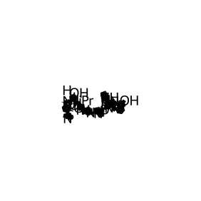 Cc1ncsc1-c1ccc([C@H](C)NC(=O)[C@@H]2C[C@@H](O)CN2C(=O)[C@H](c2cc(N3CCN(C[C@@H]4CC[C@]5(COc6nc(N7CC8CCC(C7)N8)c7cnc8c(c7n6)C(C)c6cccc7cc(O)cc-8c67)CCCN45)CC3)no2)C(C)C)cc1